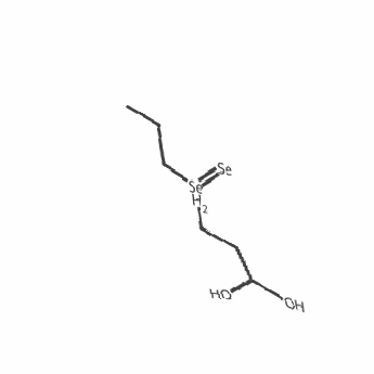 CCC[SeH2](=[Se])CCC(O)O